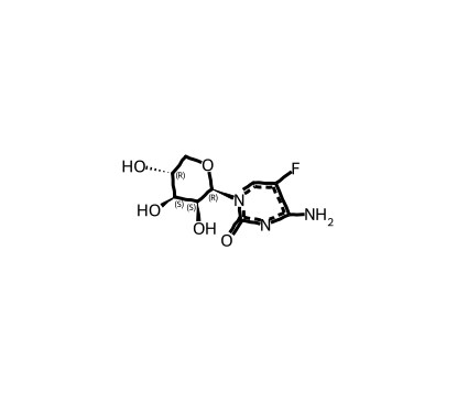 Nc1nc(=O)n([C@@H]2OC[C@@H](O)[C@H](O)[C@@H]2O)cc1F